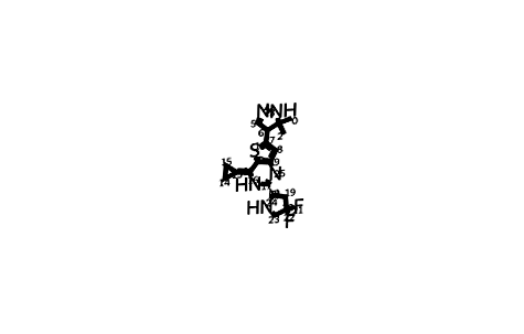 CC1(C)NN=CC1c1cc2c(s1)C(=C1CC1)NC([C@@H]1CC(F)(F)CN1)=N2